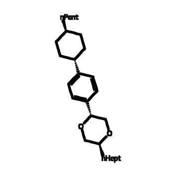 CCCCCCC[C@H]1CO[C@H](c2ccc([C@H]3CC[C@H](CCCCC)CC3)cc2)CO1